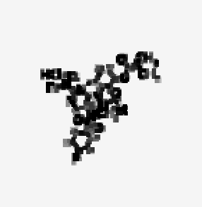 CCC(=O)Oc1c(Nc2nc(N(CC)CC)ncc2N(C)S(=O)(=O)c2ccc(F)cc2)cccc1OC(=O)N(C)C.Cl